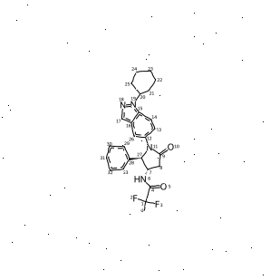 CC(F)(F)C(=O)N[C@H]1CC(=O)N(c2ccc3c(cnn3C3CCCCC3)c2)[C@@H]1c1ccccc1